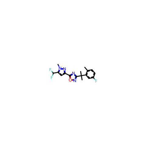 Cc1ccc(F)cc1C(C)(C)c1noc(-c2cc(C(F)F)n(C)n2)n1